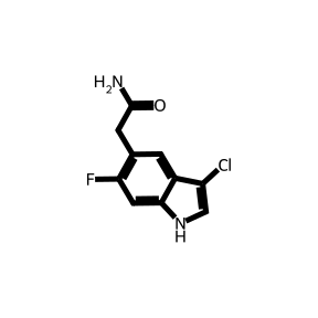 NC(=O)Cc1cc2c(Cl)c[nH]c2cc1F